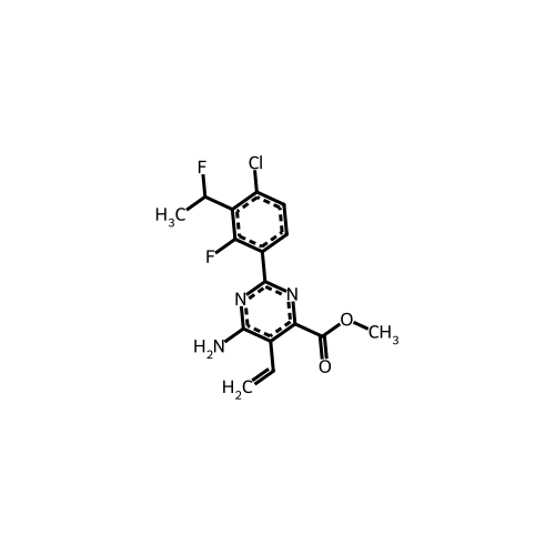 C=Cc1c(N)nc(-c2ccc(Cl)c(C(C)F)c2F)nc1C(=O)OC